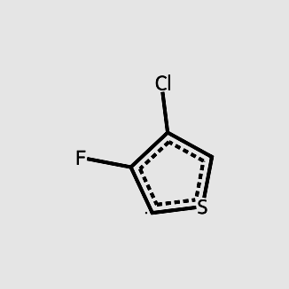 Fc1[c]scc1Cl